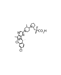 Cc1nn([C@H](C)c2ccc(Cl)cc2Cl)c2nc(N3CCC(N4CCCC4CC(F)(F)C(=O)O)C(C)C3)cnc12